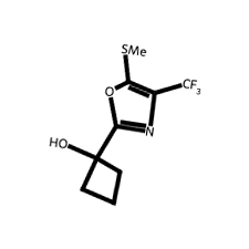 CSc1oc(C2(O)CCC2)nc1C(F)(F)F